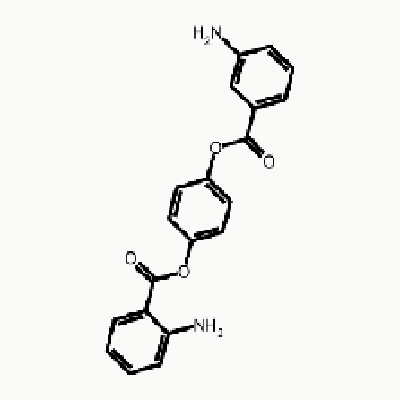 Nc1cccc(C(=O)Oc2ccc(OC(=O)c3ccccc3N)cc2)c1